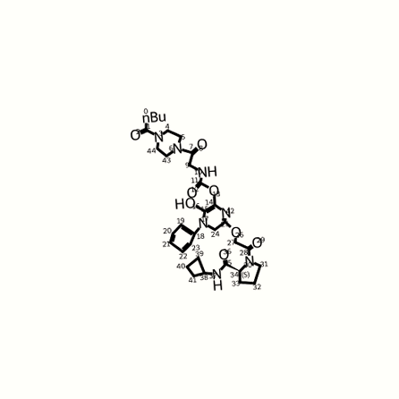 CCCCC(=O)N1CCN(C(=O)CNC(=O)OC2=C(O)N(c3ccccc3)CC(OCC(=O)N3CCC[C@H]3C(=O)NC3CCC3)=N2)CC1